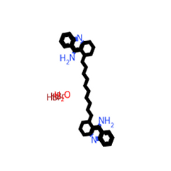 Br.Br.Nc1c2c(nc3ccccc13)CCCC2CCCCCCCCCCC1CCCc2nc3ccccc3c(N)c21.O